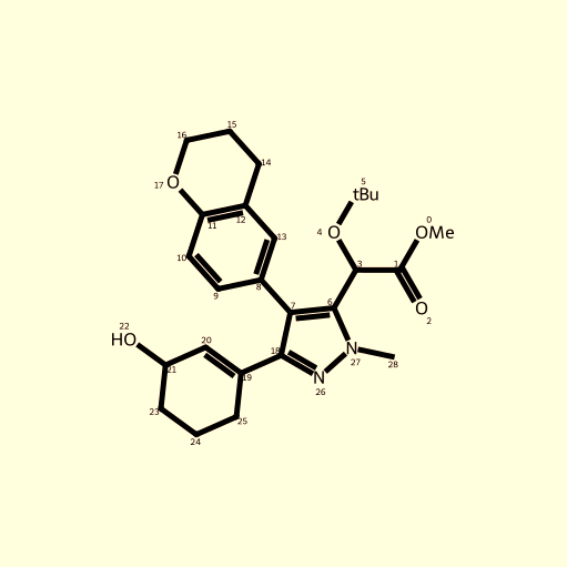 COC(=O)C(OC(C)(C)C)c1c(-c2ccc3c(c2)CCCO3)c(C2=CC(O)CCC2)nn1C